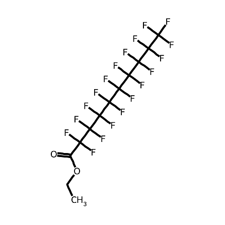 CCOC(=O)C(F)(F)C(F)(F)C(F)(F)C(F)(F)C(F)(F)C(F)(F)C(F)(F)C(F)(F)C(F)(F)F